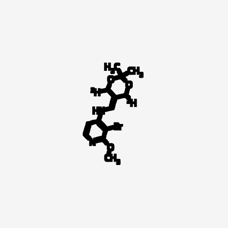 [2H]C1OC(C)(C)OC([2H])C1=CNc1ccnc(OC)c1Br